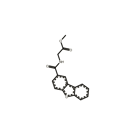 COC(=O)CNC(=O)c1ccc2oc3ccccc3c2c1